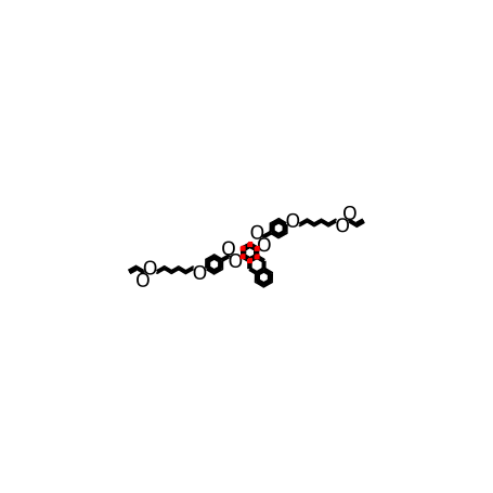 C=CC(=O)OCCCCCCOc1ccc(C(=O)Oc2ccc(OC(=O)c3ccc(OCCCCCCOC(=O)C=C)cc3)c3c2C2c4ccccc4C3c3ccccc32)cc1